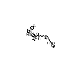 COC1CCN(c2nccc(Nc3cc4c(cn3)c(C(=O)NCCCN3CCN(CCCNC(=O)OC(C)(C)C)CC3)nn4C(C)C)n2)CC1